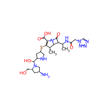 CC(NC(=O)Cn1cnnn1)C1C(=O)N2C(C(=O)O)=C(SC3CNC(C(O)N4C[C@@H](N)C[C@H]4CO)C3)[C@H](C)C12